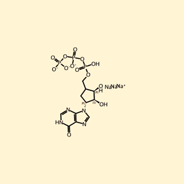 O=c1[nH]cnc2c1ncn2[C@@H]1CC(COP(=O)(O)OP(=O)([O-])OP(=O)([O-])[O-])[C@@H](O)[C@H]1O.[Na+].[Na+].[Na+]